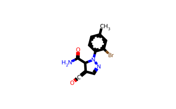 Cc1ccc(N2N=CC(=C=O)C2C(N)=O)c(Br)c1